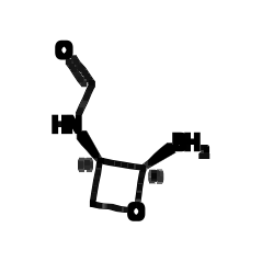 B[C@H]1OC[C@H]1NC=O